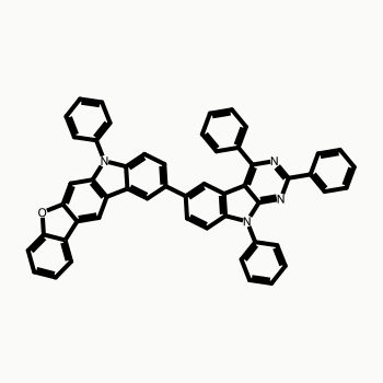 c1ccc(-c2nc(-c3ccccc3)c3c4cc(-c5ccc6c(c5)c5cc7c(cc5n6-c5ccccc5)oc5ccccc57)ccc4n(-c4ccccc4)c3n2)cc1